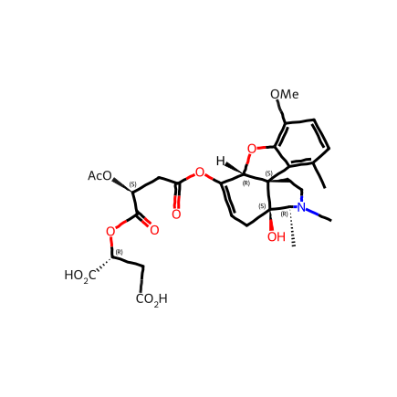 COc1ccc(C)c2c1O[C@H]1C(OC(=O)C[C@H](OC(C)=O)C(=O)O[C@H](CC(=O)O)C(=O)O)=CC[C@@]3(O)[C@@H](C)N(C)CC[C@]213